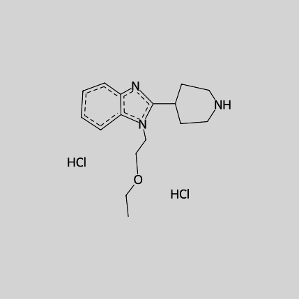 CCOCCn1c(C2CCNCC2)nc2ccccc21.Cl.Cl